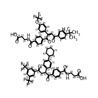 CC(C)(C)c1ccc(C(=O)C=C(C(=O)c2ccc(C(=O)NCCC(=O)O)cc2)c2ccc(OC(F)(F)F)cc2)cc1.O=C(O)CCNC(=O)c1ccc(C(=O)C(CC(=O)c2cc(C(F)(F)F)cc(C(F)(F)F)c2)c2ccc(C3CCCCC3)cc2)cc1